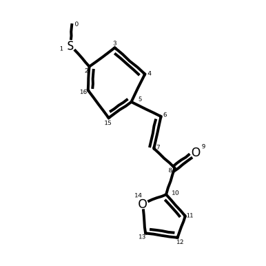 CSc1ccc(C=CC(=O)c2ccco2)cc1